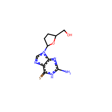 Nc1nc2c(ncn2C2CCC(CO)O2)c(=S)[nH]1